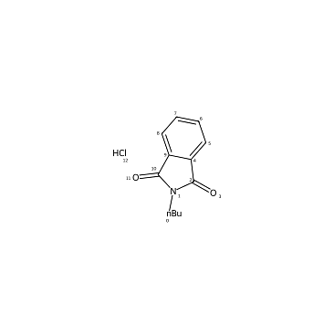 CCCCN1C(=O)c2ccccc2C1=O.Cl